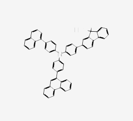 CC1(C)c2ccccc2-c2ccc(-c3ccc(N(c4ccc(-c5cccc6ccccc56)cc4)c4ccc(-c5cc6ccccc6c6ccccc56)cc4)cc3)cc21